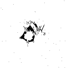 NN.c1ncncn1